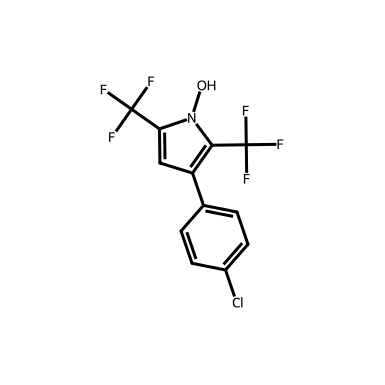 On1c(C(F)(F)F)cc(-c2ccc(Cl)cc2)c1C(F)(F)F